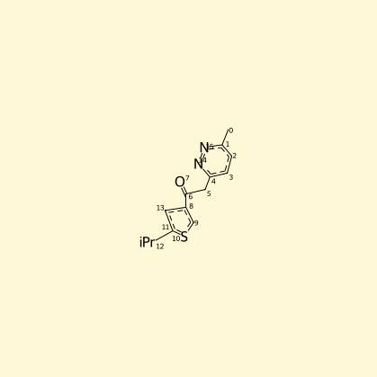 Cc1ccc(CC(=O)c2csc(C(C)C)c2)nn1